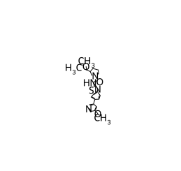 COc1cncc(-c2ccc3nc(NC(=O)N4CCCC(COC(C)C)C4)sc3c2)c1